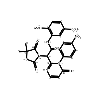 COc1ccc(C(=O)O)cc1NC(=O)C(c1nccc(=O)n1-c1ccc([N+](=O)[O-])cc1)N1C(=O)OC(C)(C)C1=O